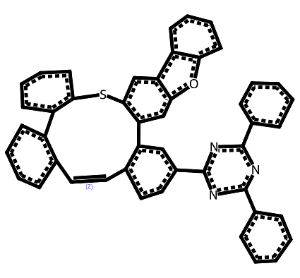 C1=C\c2ccc(-c3nc(-c4ccccc4)nc(-c4ccccc4)n3)cc2-c2cc3oc4ccccc4c3cc2Sc2ccccc2-c2ccccc2/1